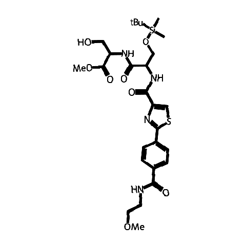 COCCNC(=O)c1ccc(-c2nc(C(=O)NC(CO[Si](C)(C)C(C)(C)C)C(=O)NC(CO)C(=O)OC)cs2)cc1